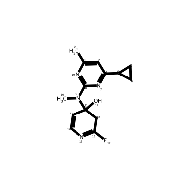 Cc1cc(C2CC2)nc(N(C)C2(O)C=CN=C(F)C2)n1